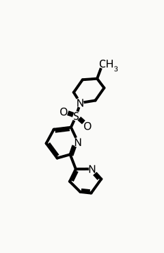 CC1CCN(S(=O)(=O)c2cccc(-c3ccccn3)n2)CC1